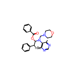 CCCCC(c1ccccc1)C(OC(=O)c1ccccc1)N(CN1CCOCC1)c1c(C)ncnc1C